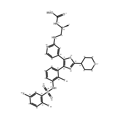 COC(=O)N[C@@H](C)CNc1cc(-c2sc(C3CCOCC3)nc2-c2cccc(NS(=O)(=O)c3cc(F)ccc3F)c2F)ccn1